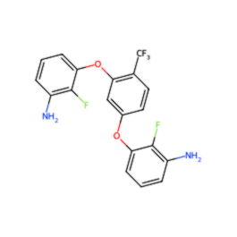 Nc1cccc(Oc2ccc(C(F)(F)F)c(Oc3cccc(N)c3F)c2)c1F